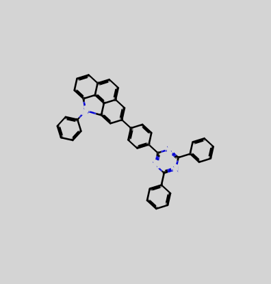 c1ccc(-c2nc(-c3ccccc3)nc(-c3ccc(-c4cc5ccc6cccc7c6c5c(c4)n7-c4ccccc4)cc3)n2)cc1